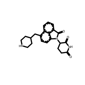 O=C1CCC(N2C(=O)c3cccc4c(CC5CCNCC5)ccc2c34)C(=O)N1